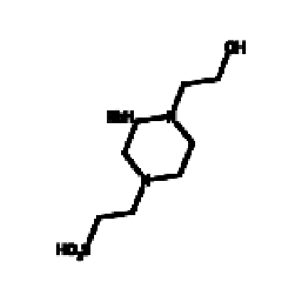 O=S(=O)(O)CCN1CCN(CCO)CC1.[RbH]